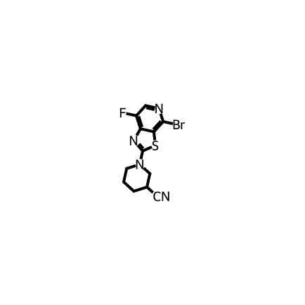 N#CC1CCCN(c2nc3c(F)cnc(Br)c3s2)C1